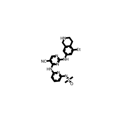 CCc1cc(Nc2ncc(C#N)c(Nc3cccc(N=S(C)(C)=O)n3)n2)cc2c1CCNC2